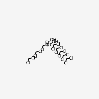 CCO.CCO.ClCCl.ClCCl.ClCCl.ClCCl.ClCCl.ClCCl.ClCCl.ClCCl